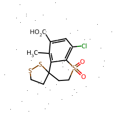 Cc1c(C(=O)O)cc(Cl)c2c1C1(CCSS1)CCS2(=O)=O